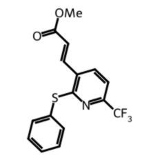 COC(=O)/C=C/c1ccc(C(F)(F)F)nc1Sc1ccccc1